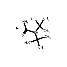 CC(C)(C)[SH](C(N)=S)C(C)(C)C.[Ni]